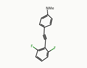 CNc1ccc(C#Cc2c(F)cccc2F)cc1